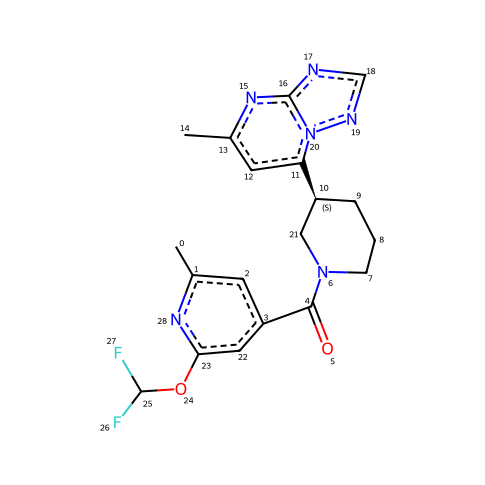 Cc1cc(C(=O)N2CCC[C@H](c3cc(C)nc4ncnn34)C2)cc(OC(F)F)n1